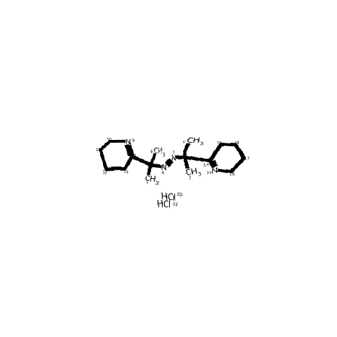 CC(C)(/N=N/C(C)(C)C1=NCCCC1)C1=NCCCC1.Cl.Cl